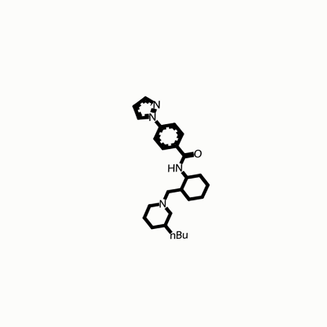 CCCCC1CCCN(CC2CCCCC2NC(=O)c2ccc(-n3cccn3)cc2)C1